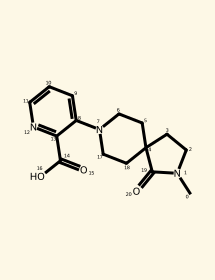 CN1CCC2(CCN(c3cccnc3C(=O)O)CC2)C1=O